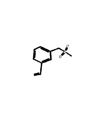 C=Cc1cccc(CS(C)(=O)=O)c1